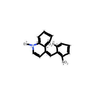 CCN1C=C/C(=C/c2c([N+](=O)[O-])cccc2[N+](=O)[O-])c2ccccc21